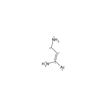 CC(=O)C(N)=CCN